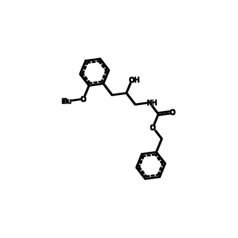 CCC(C)Oc1ccccc1CC(O)CNC(=O)OCc1ccccc1